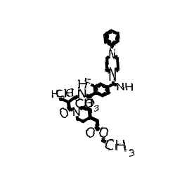 CCOC(=O)CC1CCN(C(=O)C(CC)C(C)(C)NC(=O)c2ccc(C(=N)N3CCN(c4ccccc4)CC3)cc2F)CC1